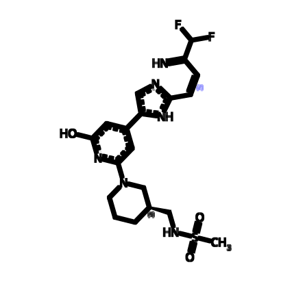 CS(=O)(=O)NC[C@H]1CCCN(c2cc(-c3cnc(/C=C\C(=N)C(F)F)[nH]3)cc(O)n2)C1